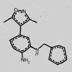 Cc1noc(C)c1-c1ccc(N)c(NCc2ccccc2)c1